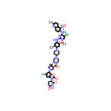 CCOc1cc(N2CCC(N3CCN(C(=O)C4CN(c5cc(F)cc6c5oc(=O)n6C5CCC(=O)NC5=O)CC4(C)C)CC3)CC2)c(CC)cc1Nc1ncc(Br)c(Nc2ccc3nc(CC)ccc3c2P(C)(C)=O)n1